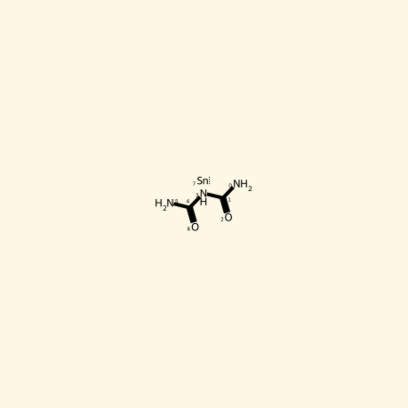 NC(=O)NC(N)=O.[Sn]